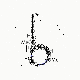 CCCOCCOCCOCCOCCNC(=O)O[C@@H]1CC[C@@H](C[C@@H](N)[C@@H]2CC(O)[C@H](C)/C=C(\C)[C@@H](O)[C@@H](O)C(=O)[C@H](C)C[C@H](C)/C=C/C=C/C=C(\C)[C@@H](OC)C[C@@H]3CC[C@@H](C)[C@@](O)(O3)C(=O)C(=O)N3CCCC[C@H]3C(=O)O2)C[C@H]1OC